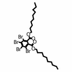 CCCCCCCCCCOC(=O)c1c(Br)c(Br)c(Br)c(Br)c1C(=O)OCCCCCCCCCC